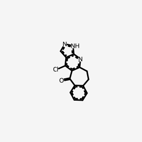 O=C1c2ccccc2CCc2nc3[nH]ncc3c(Cl)c21